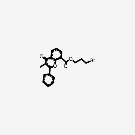 Cc1c(-c2ccccc2)oc2c(C(=O)OCCCBr)cccc2c1=O